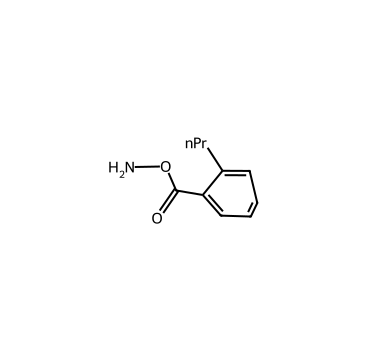 CCCc1ccccc1C(=O)ON